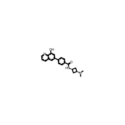 CN(C)[C@H]1C[C@@H](NC(=O)c2ccc(-c3cc(O)c4ncccc4c3)cc2)C1